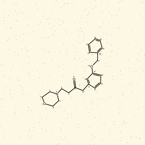 O=C(CCN1CCOCC1)Cc1cccc(OCc2ccccc2)c1